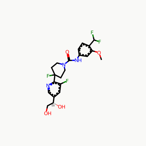 COc1cc(NC(=O)N2CCC(F)(c3ncc([C@H](O)CO)cc3F)CC2)ccc1C(F)F